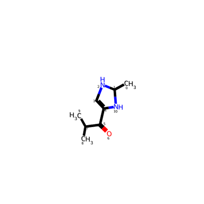 CC1NC=C(C(=O)C(C)C)N1